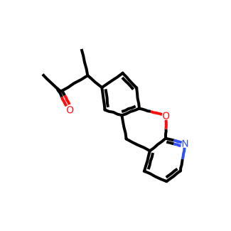 CC(=O)C(C)c1ccc2c(c1)Cc1cccnc1O2